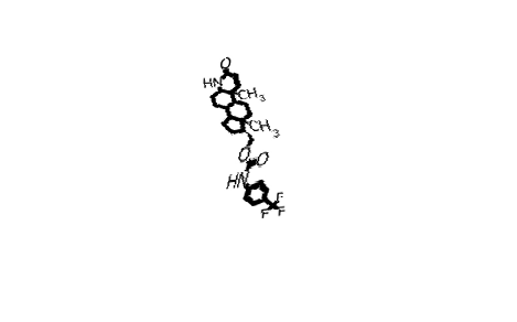 C[C@]12C=CC(=O)NC1CCC1C2CC[C@@]2(C)C1CC[C@@H]2COC(=O)Nc1ccc(C(F)(F)F)cc1